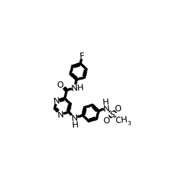 CS(=O)(=O)Nc1ccc(Nc2cc(C(=O)Nc3ccc(F)cc3)ncn2)cc1